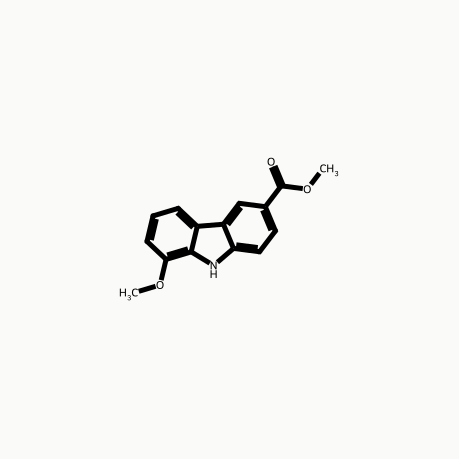 COC(=O)c1ccc2[nH]c3c(OC)cccc3c2c1